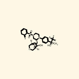 C[C@@](O)(c1ccc(N2CCN(S(=O)(=O)C3=CC=CCC3=S)C[C@@H]2CN2[C@H]3COC[C@@H]2[C@H](O)C3)cc1)C(F)(F)F